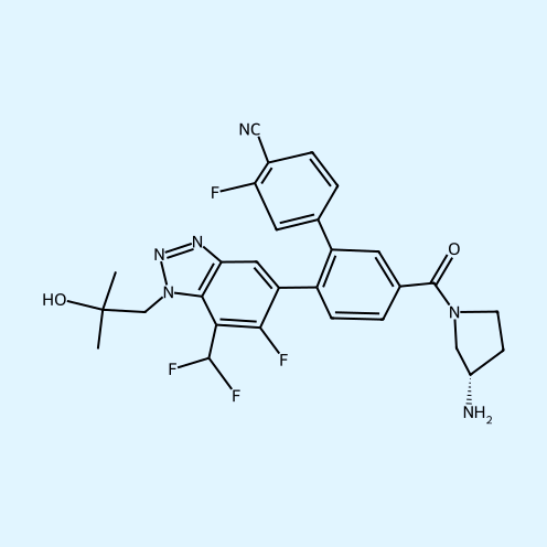 CC(C)(O)Cn1nnc2cc(-c3ccc(C(=O)N4CC[C@H](N)C4)cc3-c3ccc(C#N)c(F)c3)c(F)c(C(F)F)c21